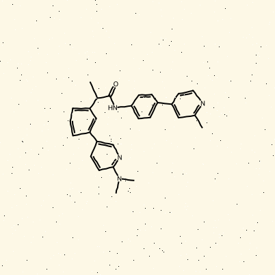 Cc1cc(-c2ccc(NC(=O)C(C)c3cccc(-c4ccc(N(C)C)nc4)c3)cc2)ccn1